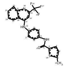 Cc1ccc(C(=O)Nc2ccc(Nc3cc(C(F)(F)F)nc4ccccc34)cc2)s1